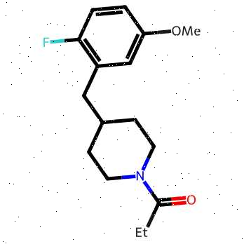 CCC(=O)N1CCC(Cc2cc(OC)ccc2F)CC1